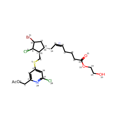 CC(=O)OCc1cc(SC[C@H]2C(Cl)C(Br)C[C@@H]2C/C=C\CCCC(=O)OCCO)cc(Cl)n1